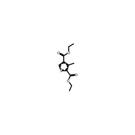 CCOC(=O)c1[c]sc(C(=O)OCC)c1C